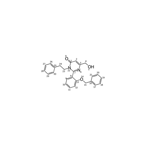 O=c1cc(CO)nc(-c2ccccc2OCc2ccccc2)n1CCc1ccccc1